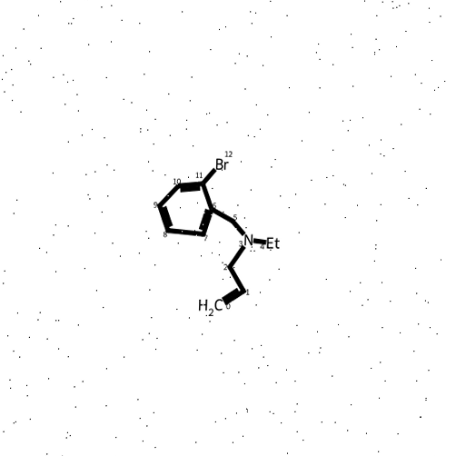 C=CCN(CC)Cc1ccccc1Br